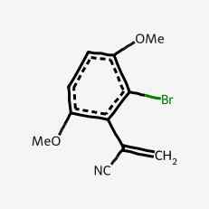 C=C(C#N)c1c(OC)ccc(OC)c1Br